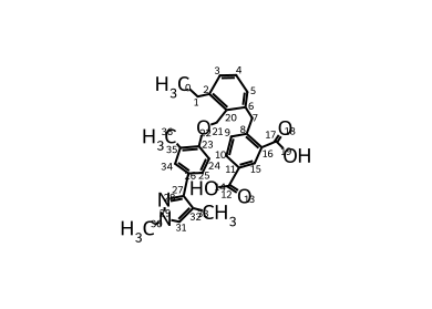 CCc1cccc(Cc2ccc(C(=O)O)cc2C(=O)O)c1COc1ccc(-c2nn(C)cc2C)cc1C